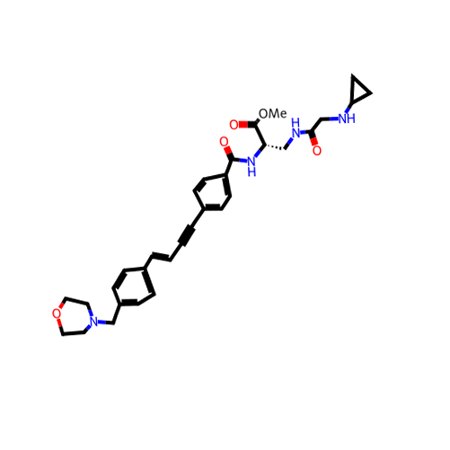 COC(=O)[C@H](CNC(=O)CNC1CC1)NC(=O)c1ccc(C#C/C=C/c2ccc(CN3CCOCC3)cc2)cc1